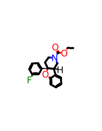 CCOC(=O)N1CC[C@@]2(c3cccc(F)c3)Oc3ccccc3[C@H]2C1